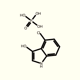 O=P(O)(O)O.Oc1c[nH]c2cccc(Cl)c12